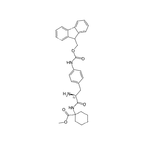 COC(=O)C1(NC(=O)[C@@H](N)Cc2ccc(NC(=O)OCC3c4ccccc4-c4ccccc43)cc2)CCCCC1